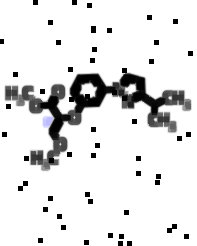 CO/C=C(\Oc1cccc(-n2ccc(C(C)C)n2)c1)C(=O)OC